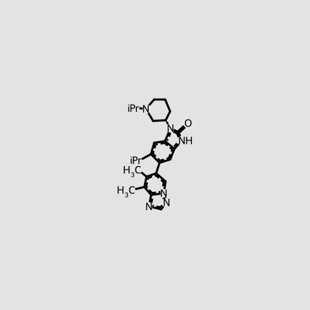 Cc1c(-c2cc3[nH]c(=O)n([C@@H]4CCCN(C(C)C)C4)c3cc2C(C)C)cn2ncnc2c1C